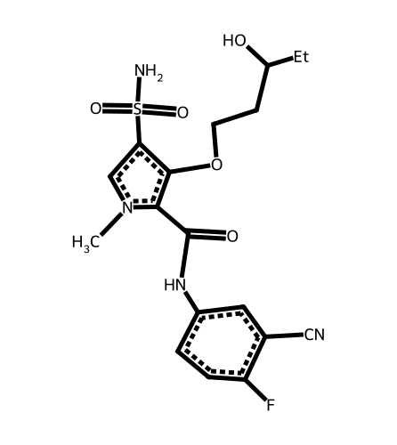 CCC(O)CCOc1c(S(N)(=O)=O)cn(C)c1C(=O)Nc1ccc(F)c(C#N)c1